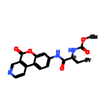 CC(C)C[C@H](NC(=O)OC(C)(C)C)C(=O)Nc1ccc2c(c1)oc(=O)c1cnccc12